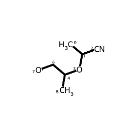 CC(C#N)OC(C)C[O]